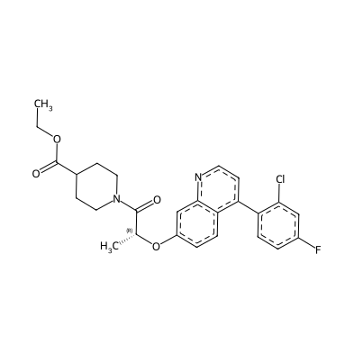 CCOC(=O)C1CCN(C(=O)[C@@H](C)Oc2ccc3c(-c4ccc(F)cc4Cl)ccnc3c2)CC1